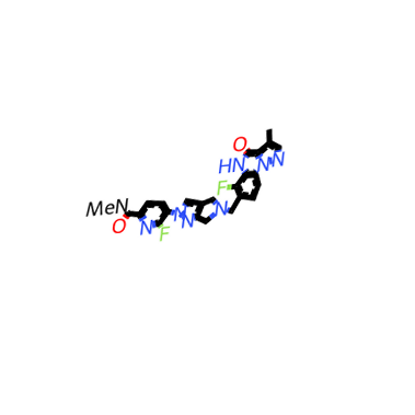 CNC(=O)c1ccc(-n2cc3c(n2)CN(Cc2ccc4c([nH]c(=O)c5c(C)cnn54)c2F)C3)c(F)n1